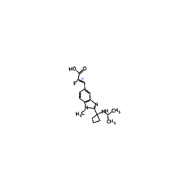 CC(C)NC1(c2nc3cc(/C=C(\F)C(=O)O)ccc3n2C)CCC1